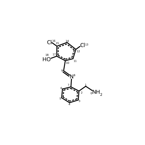 NCc1ccccc1N=Cc1cc(Cl)cc(Cl)c1O